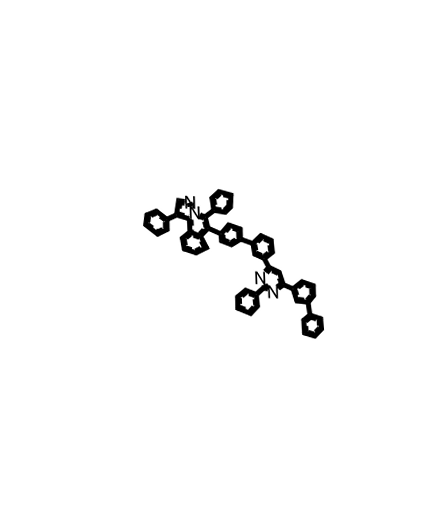 c1ccc(-c2cccc(-c3cc(-c4cccc(-c5ccc(-c6c(-c7ccccc7)n7ncc(-c8ccccc8)c7c7ccccc67)cc5)c4)nc(-c4ccccc4)n3)c2)cc1